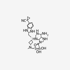 CN(C[C@H]1O[C@@H](N2CNC3C(N)NCNC32)[C@H](O)[C@@H]1O)[C@H]1C[C@@H](CCC2Nc3ccc(C4(C#N)CC4)cc3N2)C1